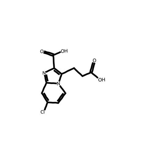 O=C(O)CCc1c(C(=O)O)nc2cc(Cl)ccn12